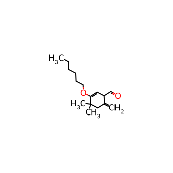 C=C1CC(C)(C)C(OCCCCCC)=CC1C=O